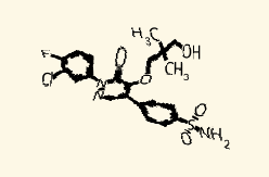 CC(C)(CO)COc1c(-c2ccc(S(N)(=O)=O)cc2)cnn(-c2ccc(F)c(Cl)c2)c1=O